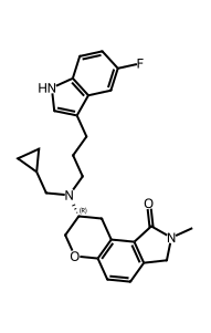 CN1Cc2ccc3c(c2C1=O)C[C@@H](N(CCCc1c[nH]c2ccc(F)cc12)CC1CC1)CO3